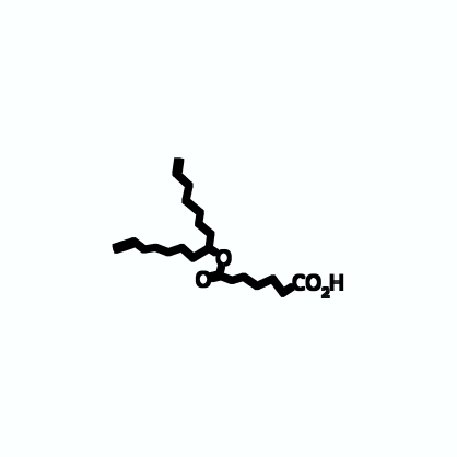 C=CCCCCCC(CCCCCC=C)OC(=O)CCCCCC(=O)O